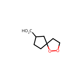 O=C(O)C1CCC2(CCOO2)C1